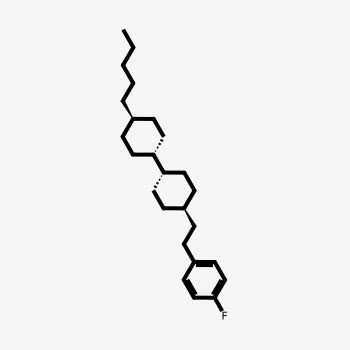 CCCCC[C@H]1CC[C@H]([C@H]2CC[C@H](CCc3ccc(F)cc3)CC2)CC1